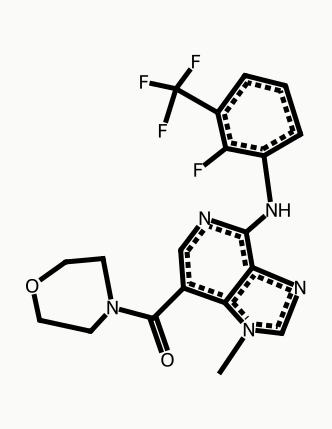 Cn1cnc2c(Nc3cccc(C(F)(F)F)c3F)ncc(C(=O)N3CCOCC3)c21